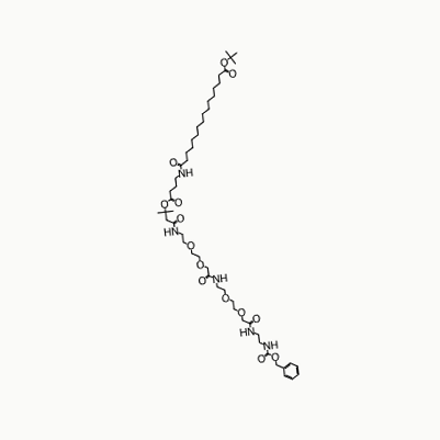 CC(C)(C)OC(=O)CCCCCCCCCCCCCCC(=O)NCCCC(=O)OC(C)(C)CC(=O)NCCOCCOCC(=O)NCCOCCOCC(=O)NCCNC(=O)OCc1ccccc1